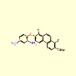 COc1ccc2c(ccc3c(F)c(Oc4ccc(N)cc4N)ccc32)c1F